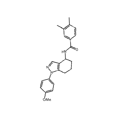 COc1ccc(-n2ncc3c2CCCC3NC(=O)c2ccc(C)c(C)c2)cc1